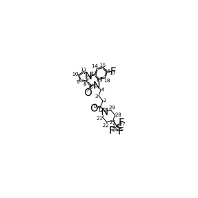 O=C(CCCn1c(=O)c2cccn2c2ccc(F)cc21)N1CCC(C(F)(F)F)CC1